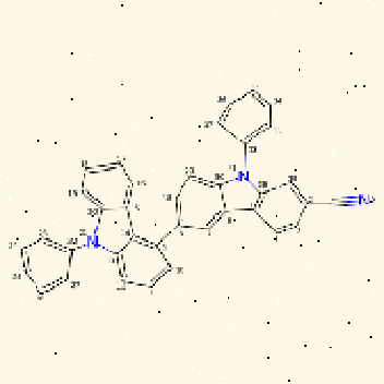 N#Cc1ccc2c3cc(-c4cccc5c4c4ccccc4n5-c4ccccc4)ccc3n(-c3ccccc3)c2c1